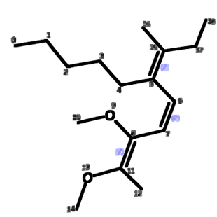 CCCCCC(/C=C\C(OC)=C(/C)OC)=C(\C)CC